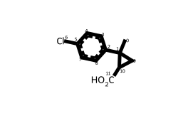 CC1(c2ccc(Cl)cc2)CC1C(=O)O